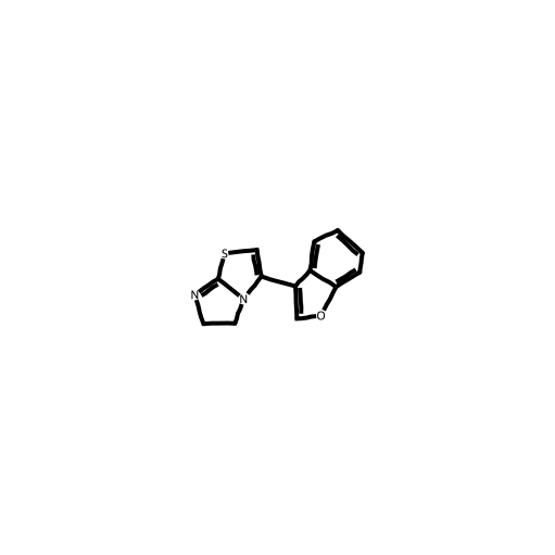 C1=C(c2coc3ccccc23)N2CCN=C2S1